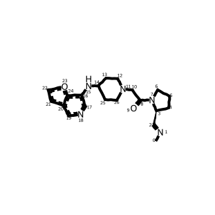 CN=C[C@@H]1CCCN1C(=O)CN1CCC(Nc2cncc3ccoc23)CC1